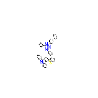 c1ccc(-c2ccc(-c3nc(-c4ccccc4)nc(-c4ccc(-c5cccc6sc7c(ccc8c(-c9ccccc9)nc9ccccc9c87)c56)cc4)n3)cc2)cc1